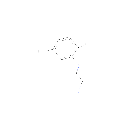 NCCNc1cc(C(=O)O)ccc1C(=O)O